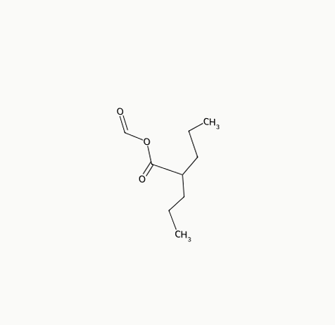 CCCC(CCC)C(=O)OC=O